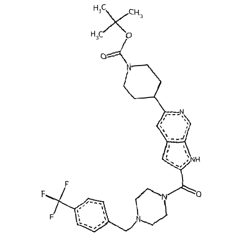 CC(C)(C)OC(=O)N1CCC(c2cc3cc(C(=O)N4CCN(Cc5ccc(C(F)(F)F)cc5)CC4)[nH]c3cn2)CC1